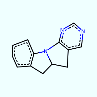 c1ccc2c(c1)CC1Cc3cncnc3N21